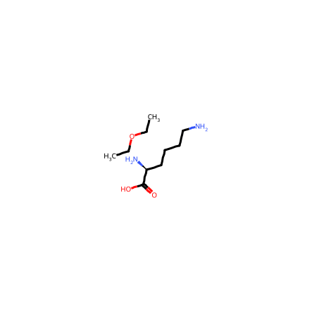 CCOCC.NCCCC[C@H](N)C(=O)O